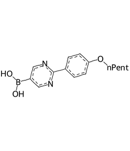 CCCCCOc1ccc(-c2ncc(B(O)O)cn2)cc1